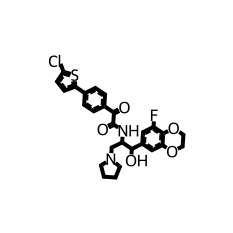 O=C(NC(CN1CCCC1)C(O)c1cc(F)c2c(c1)OCCO2)C(=O)c1ccc(-c2ccc(Cl)s2)cc1